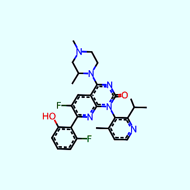 Cc1ccnc(C(C)C)c1-n1c(=O)nc(N2CCN(C)CC2C)c2cc(F)c(-c3c(O)cccc3F)nc21